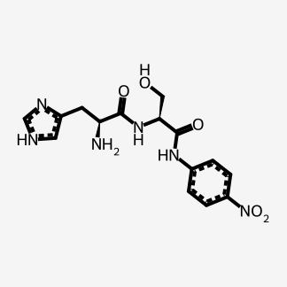 N[C@@H](Cc1c[nH]cn1)C(=O)N[C@@H](CO)C(=O)Nc1ccc([N+](=O)[O-])cc1